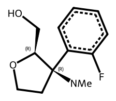 CN[C@@]1(c2ccccc2F)CCO[C@H]1CO